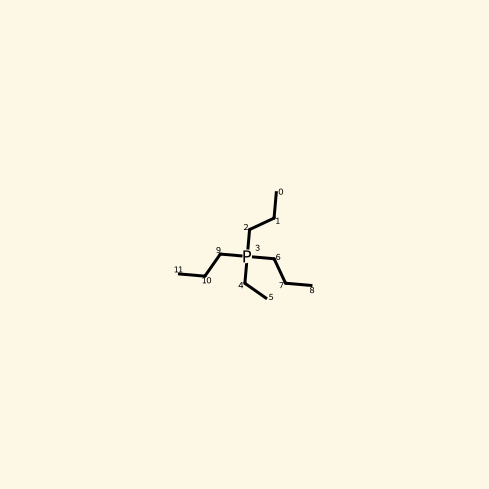 CCC[P](CC)(CCC)CCC